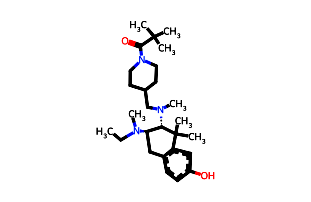 CCN(C)[C@@H]1Cc2ccc(O)cc2C(C)(C)[C@H]1N(C)CC1CCN(C(=O)C(C)(C)C)CC1